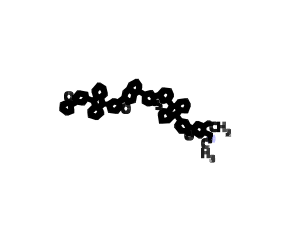 C=Cc1cc2c(cc1/C=C\C)oc1ccc(-c3c4ccccc4c(-c4cccc5c4sc4ccc(-c6cccc7cc8c(cc67)oc6ccc(-c7c9ccccc9c(-c9ccc%10oc%11ccccc%11c%10c9)c9ccccc79)cc68)cc45)c4ccccc34)cc12